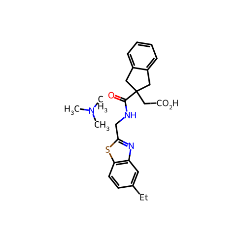 CCc1ccc2sc(CNC(=O)C3(CC(=O)O)Cc4ccccc4C3)nc2c1.CN(C)C